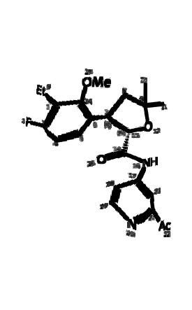 CCc1c(F)ccc([C@H]2CC(C)(C)O[C@@H]2C(=O)Nc2ccnc(C(C)=O)c2)c1OC